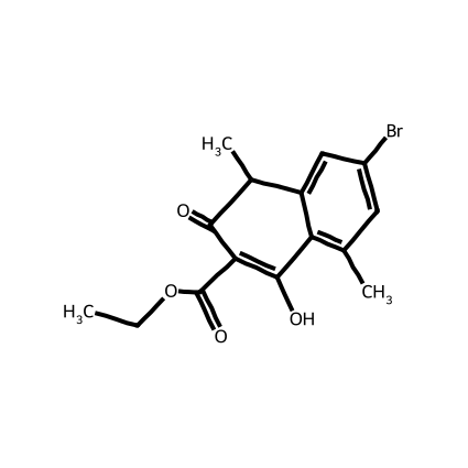 CCOC(=O)C1=C(O)c2c(C)cc(Br)cc2C(C)C1=O